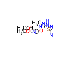 Cc1nc(Nc2ncc(C#N)s2)cc(OC2CCN(CC(=O)OC(C)(C)C)CC2)n1